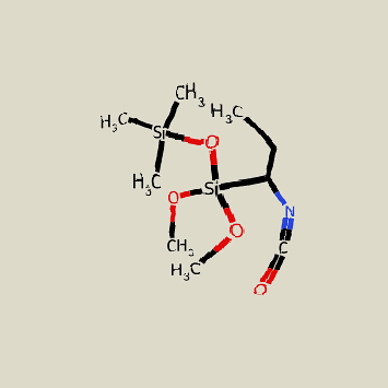 CCC(N=C=O)[Si](OC)(OC)O[Si](C)(C)C